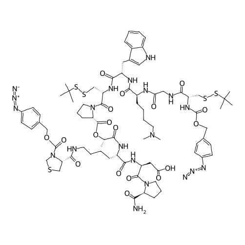 C[C@H](OC(=O)[C@@H]1CCCN1C(=O)[C@H](CSSC(C)(C)C)NC(=O)[C@H](Cc1c[nH]c2ccccc12)NC(=O)[C@H](CCCCN(C)C)NC(=O)CNC(=O)[C@H](CSSC(C)(C)C)NC(=O)OCc1ccc(N=[N+]=[N-])cc1)C(=O)N[C@@H](CCCCNC(=O)[C@@H]1CSCN1C(=O)OCc1ccc(N=[N+]=[N-])cc1)C(=O)N[C@@H](CC(=O)O)C(=O)N1CCC[C@H]1C(N)=O